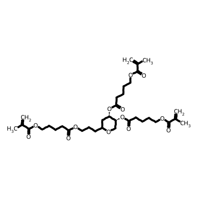 C=C(C)C(=O)OCCCCC(=O)OCCCC1C[C@H](OC(=O)CCCCOC(=O)C(=C)C)[C@H](OC(=O)CCCCOC(=O)C(=C)C)CO1